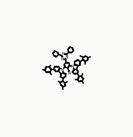 Cc1cc(C)c(-c2ccc3c(c2)c2cc(-c4c(C)cc(C)cc4C)ccc2n3-c2cc(-c3nc(-c4ccccc4)nc(-c4ccccc4)n3)cc(-n3c4ccc(-c5c(C)cc(C)cc5C)cc4c4cc(-c5c(C)cc(C)cc5C)ccc43)c2C#N)c(C)c1